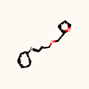 [CH](COCc1ccco1)C[Se]c1ccccc1